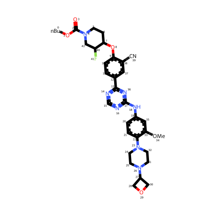 CCCCOC(=O)N1CCC(Oc2ccc(-c3ncnc(Nc4ccc(N5CCN(C6COC6)CC5)c(OC)c4)n3)cc2C#N)C(F)C1